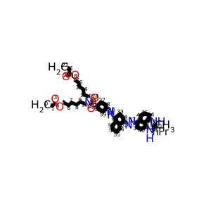 C=CC(=O)OCCCCCCN(CCCCCCOC(=O)C=C)S(=O)(=O)c1ccc(/N=N/c2ccc(/N=N/c3ccc4c5c(cccc35)NC(C)(CCC)N4)c3ccccc23)cc1